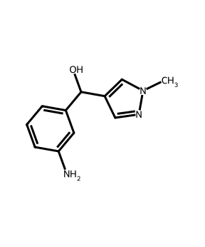 Cn1cc(C(O)c2cccc(N)c2)cn1